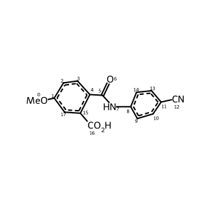 COc1ccc(C(=O)Nc2ccc(C#N)cc2)c(C(=O)O)c1